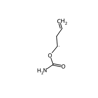 C=CC[CH]OC(N)=O